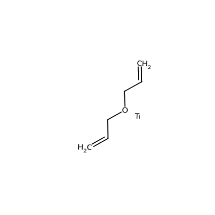 C=CCOCC=C.[Ti]